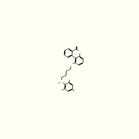 CCN(CCCCOc1cccc2[nH]c(=O)c3ccccc3c12)c1c(F)cc(Cl)cc1F